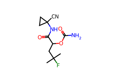 CC(C)(F)CC(OC(N)=O)C(=O)NC1(C#N)CC1